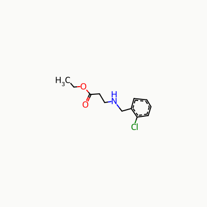 CCOC(=O)CCNCc1ccccc1Cl